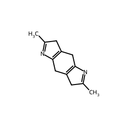 CC1=NC2=C(C1)CC1=C(CC(C)=N1)C2